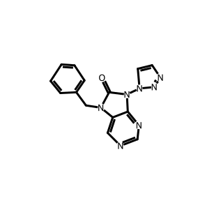 O=c1n(Cc2ccccc2)c2cncnc2n1-n1ccnn1